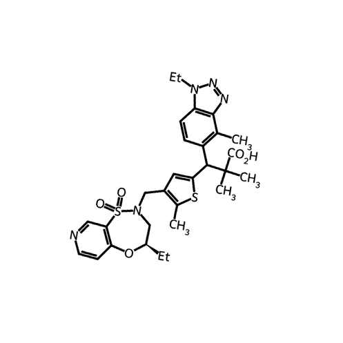 CC[C@@H]1CN(Cc2cc(C(c3ccc4c(nnn4CC)c3C)C(C)(C)C(=O)O)sc2C)S(=O)(=O)c2cnccc2O1